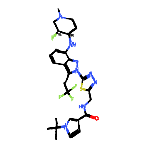 CN1CC[C@@H](Nc2cccc3c(CC(F)(F)F)n(-c4nnc(CNC(=O)c5ccn(C(C)(C)C)c5)s4)nc23)[C@@H](F)C1